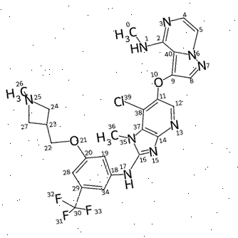 CNc1nccn2ncc(Oc3cnc4nc(Nc5cc(OCC6CN(C)C6)cc(C(F)(F)F)c5)n(C)c4c3Cl)c12